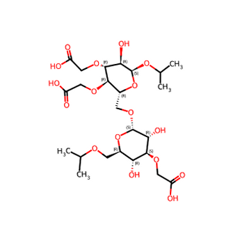 CC(C)OC[C@H]1O[C@H](OC[C@H]2O[C@H](OC(C)C)[C@H](O)[C@@H](OCC(=O)O)[C@@H]2OCC(=O)O)[C@H](O)[C@@H](OCC(=O)O)[C@@H]1O